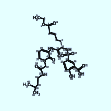 CCOC(=O)C=CCC[C@H](NS(=O)(=O)c1ccc(O)c(C(=O)O)c1)C(=O)Nc1cccn(CC(=O)NCCC(C)C)c1=O